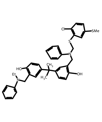 CCN(Cc1cc(C(C)(C)c2ccc(O)c(CN(CSc3cc(SC)ccc3Cl)c3ccccc3)c2)ccc1O)c1ccccc1